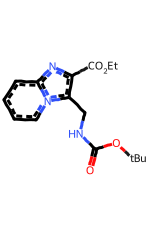 CCOC(=O)c1nc2ccccn2c1CNC(=O)OC(C)(C)C